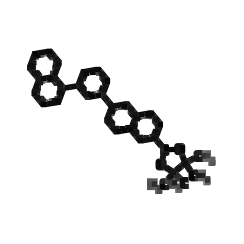 CC1(C)OB(c2ccc3cc(-c4cccc(-c5cccc6ccccc56)c4)ccc3c2)OC1(C)C